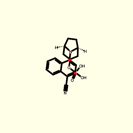 N#Cc1ccc(N2[C@@H]3CC[C@H]2C[C@@H](OP(=O)(O)O)C3)c2ccccc12